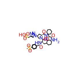 CS(=O)(=O)c1ccc(C(=O)N[C@H](CC2CCCCC2)C(=O)N2C[C@@H](n3cc(CS(=O)(=O)O)nn3)C[C@H]2C(=O)NC2(C(=O)C(N)=O)CCCCC2)cc1